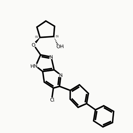 O[C@H]1CCC[C@@H]1Oc1nc2nc(-c3ccc(-c4ccccc4)cc3)c(Cl)cc2[nH]1